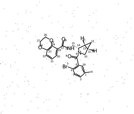 Cc1ccc(Br)c(C(=O)N2C[C@H]3C[C@H]3[C@H]2CNC(=O)c2cccc3c2OCCO3)c1